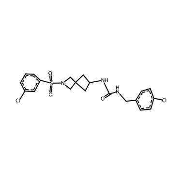 O=C(NCc1ccc(Cl)cc1)NC1CC2(C1)CN(S(=O)(=O)c1cccc(Cl)c1)C2